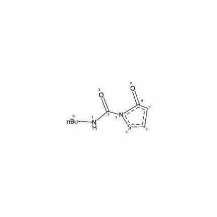 CCCCNC(=O)n1sccc1=O